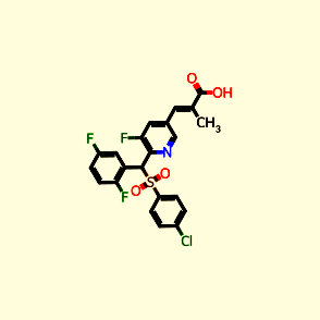 C/C(=C\c1cnc(C(c2cc(F)ccc2F)S(=O)(=O)c2ccc(Cl)cc2)c(F)c1)C(=O)O